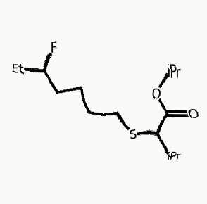 CCC(F)CCCCSC(C(=O)OC(C)C)C(C)C